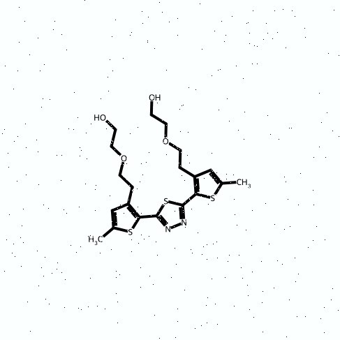 Cc1cc(CCOCCO)c(-c2nnc(-c3sc(C)cc3CCOCCO)s2)s1